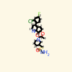 CC(Oc1ccc2c(-c3ccc(F)cc3Cl)ccnc2c1)C(=O)N1CCCC(C[S+](N)[O-])C1